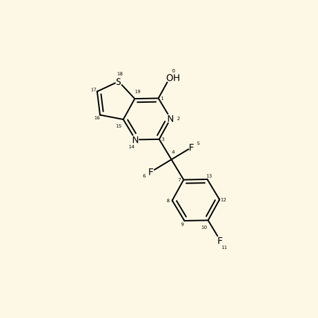 Oc1nc(C(F)(F)c2ccc(F)cc2)nc2ccsc12